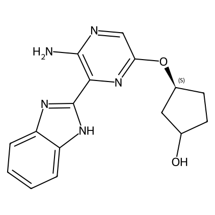 Nc1ncc(O[C@H]2CCC(O)C2)nc1-c1nc2ccccc2[nH]1